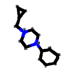 [CH]1CCC(N2CCN(CC3CC3)CC2)CC1